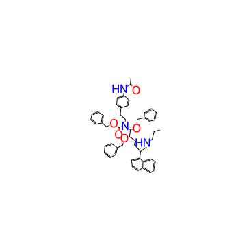 CCCNCC(CCC(OCc1ccccc1)C(OCc1ccccc1)N(CCc1ccc(NC(C)=O)cc1)C(=O)OCc1ccccc1)c1cccc2ccccc12